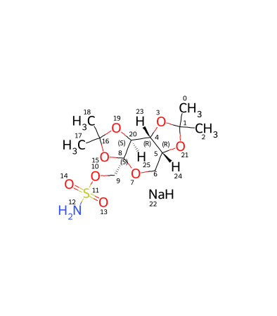 CC1(C)O[C@@H]2[C@@H](CO[C@@]3(COS(N)(=O)=O)OC(C)(C)O[C@@H]23)O1.[NaH]